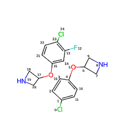 Clc1ccc(OC2CNC2)cc1.Fc1cc(OC2CNC2)ccc1Cl